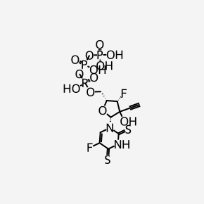 C#CC1(O)[C@@H](F)[C@@H](COP(=O)(O)OP(=O)(O)OP(=O)(O)O)O[C@H]1n1cc(F)c(=S)[nH]c1=S